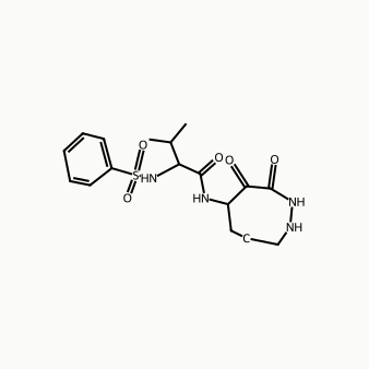 CC(C)C(NS(=O)(=O)c1ccccc1)C(=O)NC1CCCNNC(=O)C1=O